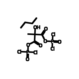 CC(O)(C(=O)OP(=O)(Cl)Cl)C(=O)OP(=O)(Cl)Cl.CCCC